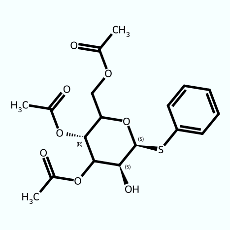 CC(=O)OCC1O[C@@H](Sc2ccccc2)[C@@H](O)C(OC(C)=O)[C@@H]1OC(C)=O